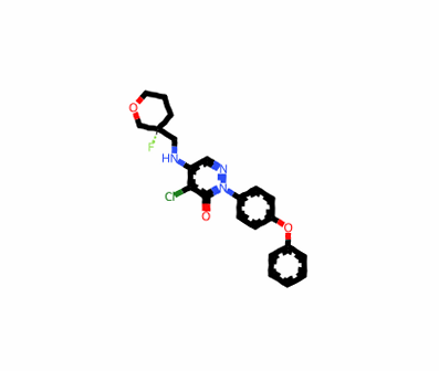 O=c1c(Cl)c(NC[C@]2(F)CCCOC2)cnn1-c1ccc(Oc2ccccc2)cc1